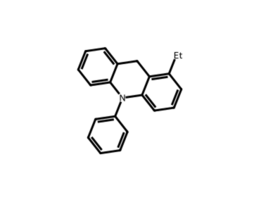 CCc1cccc2c1Cc1ccccc1N2c1ccccc1